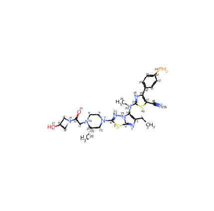 CCc1nc2sc(N3CCN(CC(=O)N4CC(O)C4)[C@@H](C)C3)nn2c1N(C)c1nc(-c2ccc(P)cc2)c(C#N)s1